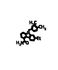 CCc1c[c]c2c3c(C(N)=O)cccc3n(Cc3ccc(C)c(C)c3)c2c1